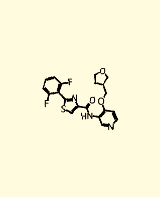 O=C(Nc1cnccc1OCC1CCOC1)c1csc(-c2c(F)cccc2F)n1